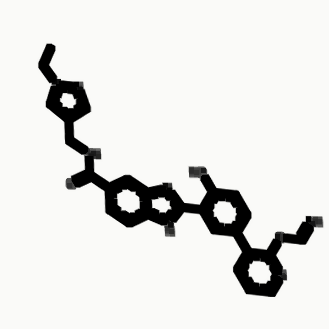 CCn1cc(CNC(=O)c2ccc3[nH]c(-c4cc(-c5cccnc5OC=N)ccc4O)nc3c2)cn1